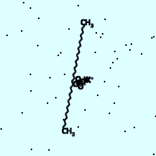 CCCCCCCCCCCCCCCCCC(CCCCCCCCCCCCCCCC)OP(=O)([O-])[O-].[K+].[K+]